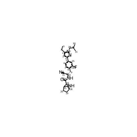 CCc1cc(-c2ccc(C[C@@H](C#N)NC(=O)C3NC4CCC3C4)c(F)c2)nn1CC(C)C